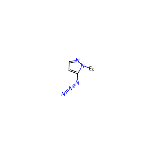 CCn1nccc1N=[N+]=[N-]